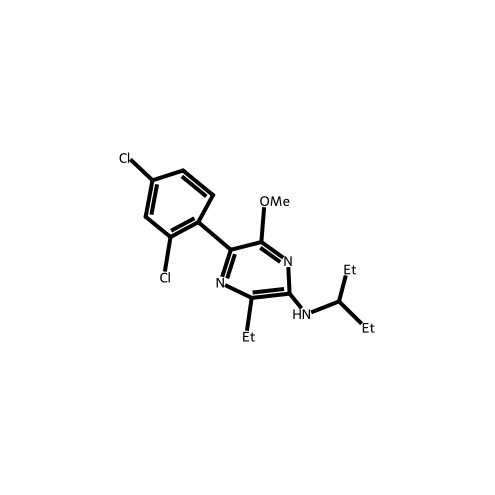 CCc1nc(-c2ccc(Cl)cc2Cl)c(OC)nc1NC(CC)CC